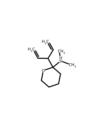 C=CC(C=C)C1([SiH](C)C)CCCCO1